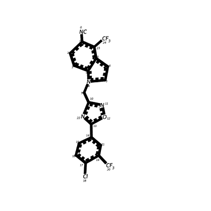 [C-]#[N+]c1ccc2c(ccn2Cc2noc(-c3ccc(Cl)c(C(F)(F)F)c3)n2)c1C(F)(F)F